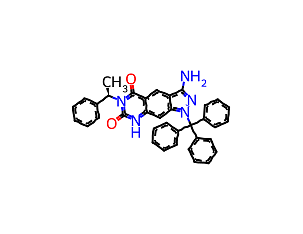 C[C@H](c1ccccc1)n1c(=O)[nH]c2cc3c(cc2c1=O)c(N)nn3C(c1ccccc1)(c1ccccc1)c1ccccc1